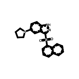 O=S(=O)(c1cccc2ccccc12)c1n[nH]c2ccc(N3CCCC3)cc12